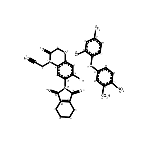 C#CCN1C(=O)COc2cc(F)c(N3C(=O)C4=C(CCCC4)C3=O)cc21.O=C(O)c1cc(Oc2ccc(C(F)(F)F)cc2Cl)ccc1[N+](=O)[O-]